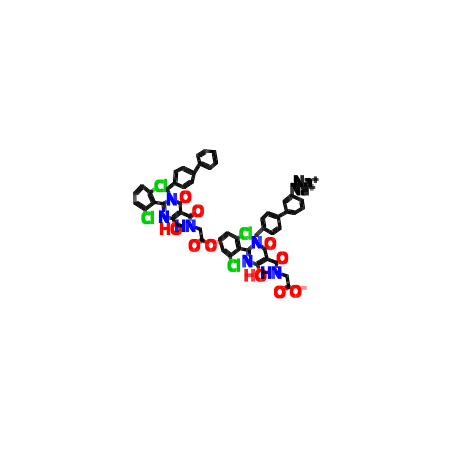 O=C([O-])CNC(=O)c1c(O)nc(-c2c(Cl)cccc2Cl)n(Cc2ccc(-c3ccccc3)cc2)c1=O.O=C([O-])CNC(=O)c1c(O)nc(-c2c(Cl)cccc2Cl)n(Cc2ccc(-c3ccccc3)cc2)c1=O.[Na+].[Na+]